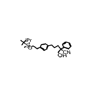 CC(C)C(C)(C)[Si](C)(C)OCCc1ccc(CCCC(C#N)(CO)c2ccccc2)cc1